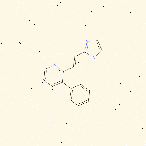 C(=C\c1ncccc1-c1ccccc1)/c1ncc[nH]1